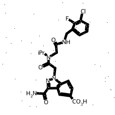 CC(C)N(CC(=O)NCc1cccc(Cl)c1F)C(=O)Cn1nc(C(N)=O)c2cc(C(=O)O)ccc21